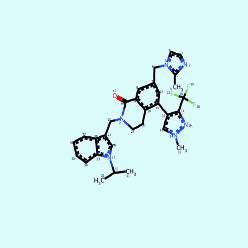 Cc1nccn1Cc1cc2c(c(-c3cn(C)nc3C(F)(F)F)c1)CCN(Cc1cn(C(C)C)c3ccccc13)C2=O